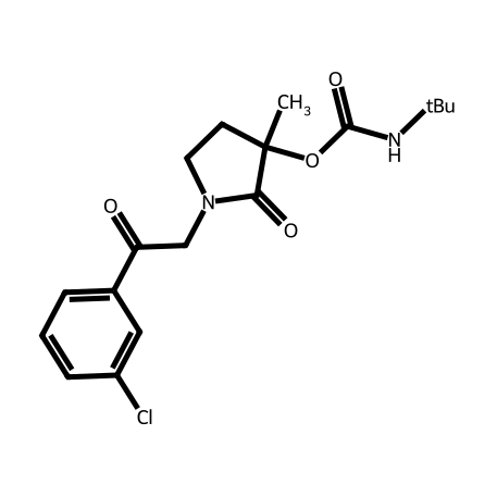 CC(C)(C)NC(=O)OC1(C)CCN(CC(=O)c2cccc(Cl)c2)C1=O